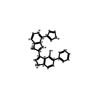 Fc1c(-c2cccnc2)ccc2[nH]nc(-c3nc4c(-c5ccoc5)nccc4[nH]3)c12